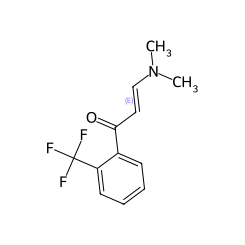 CN(C)/C=C/C(=O)c1ccccc1C(F)(F)F